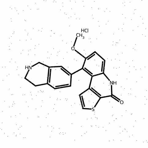 COc1ccc2[nH]c(=O)c3sccc3c2c1-c1ccc2c(c1)CNCC2.Cl